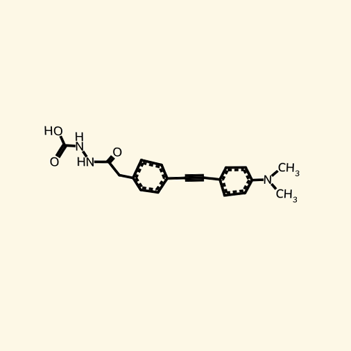 CN(C)c1ccc(C#Cc2ccc(CC(=O)NNC(=O)O)cc2)cc1